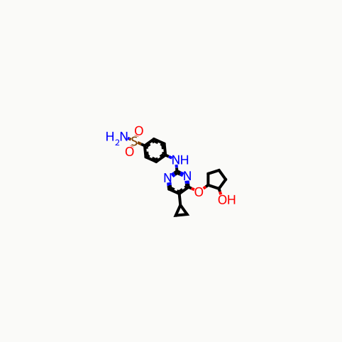 NS(=O)(=O)c1ccc(Nc2ncc(C3CC3)c(OC3CCCC3O)n2)cc1